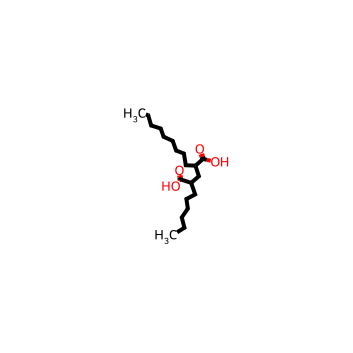 CCCCCCCCCC(CC(CCCCCC)C(=O)O)C(=O)O